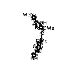 CNc1ccc(C2=CN3C(O)c4cc(OC)c(OCCCCCOc5cc6c(cc5OC)C(=O)N5C=C(c7ccc(O)cc7)C[C@H]5C=N6)cc4N=C[C@@H]3C2)cc1